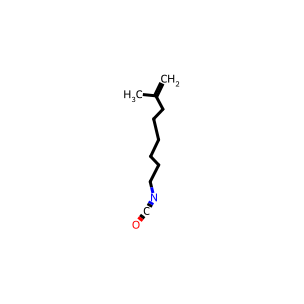 C=C(C)CCCCCCN=C=O